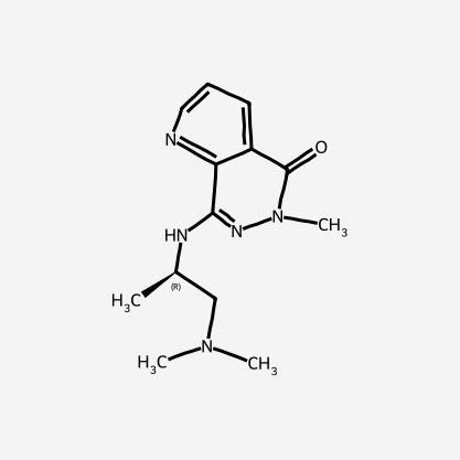 C[C@H](CN(C)C)Nc1nn(C)c(=O)c2cccnc12